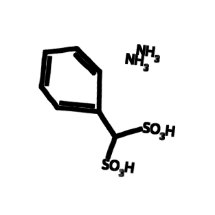 N.N.O=S(=O)(O)C(c1ccccc1)S(=O)(=O)O